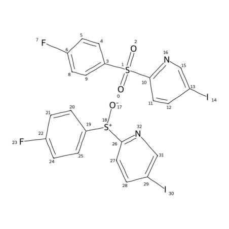 O=S(=O)(c1ccc(F)cc1)c1ccc(I)cn1.[O-][S+](c1ccc(F)cc1)c1ccc(I)cn1